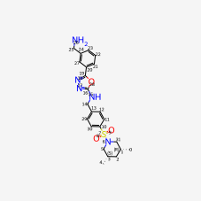 C[C@@H]1C[C@H](C)CN(S(=O)(=O)c2ccc(CNc3nnc(-c4cccc(CN)c4)o3)cc2)C1